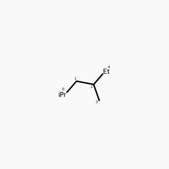 [CH2]C(C)CC(C)CC